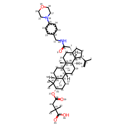 C=C(C)[C@@H]1CC[C@]2(CC(=O)NCc3ccc(N4CCOCC4)cc3)CC[C@]3(C)[C@H](CC[C@@H]4[C@@]5(C)CC[C@H](OC(=O)CC(C)(C)C(=O)O)C(C)(C)[C@@H]5CC[C@]43C)[C@@H]12